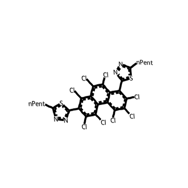 CCCCCc1nnc(-c2c(Cl)c(Cl)c3c(c2Cl)c(Cl)c(Cl)c2c(-c4nnc(CCCCC)s4)c(Cl)c(Cl)c(Cl)c23)s1